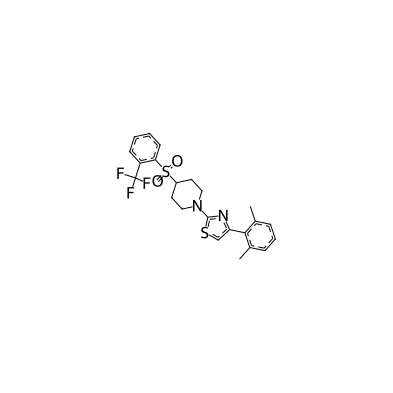 Cc1cccc(C)c1-c1csc(N2CCC(S(=O)(=O)c3ccccc3C(F)(F)F)CC2)n1